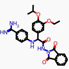 CCOc1cc(C(Nc2ccc(C(=N)N)cc2)C(=O)NN2C(=O)c3ccccc3C2=O)ccc1OC(C)C